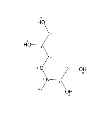 CN(OCC(O)CO)C(O)CO